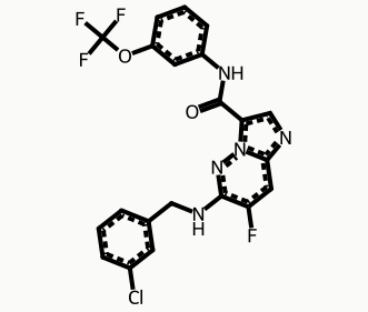 O=C(Nc1cccc(OC(F)(F)F)c1)c1cnc2cc(F)c(NCc3cccc(Cl)c3)nn12